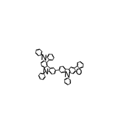 c1ccc(-n2c3cc(-c4ccc5c(c4)c4c6c7ccccc7n(-c7ccccc7)c6ccc4n5-c4ccccc4)ccc3c3cc4c(cc32)oc2ccccc24)cc1